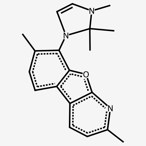 Cc1ccc2c(n1)oc1c(N3C=CN(C)C3(C)C)c(C)ccc12